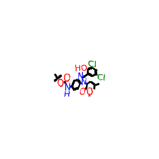 COC(=O)C(CC(C)C)n1c(-c2cc(Cl)cc(Cl)c2O)nc2cc(NC(=O)OC(C)(C)C)ccc21